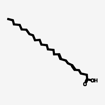 CCCCCCCCCCCCCCCC=CCCC=CCCCC(=O)O